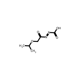 CC(C)OCC(=O)N=NC(=O)O